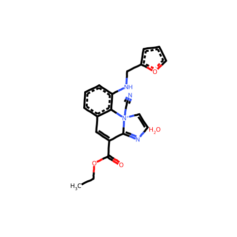 CCOC(=O)C1=Cc2cccc(NCc3ccco3)c2[N+]2(C#N)C=CN=C12.O